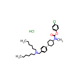 CCCCCCN(CCCCCC)Cc1ccc([C@H]2CC[C@H](N(C)C(=O)Oc3ccc(Cl)cc3)CC2)cc1.Cl